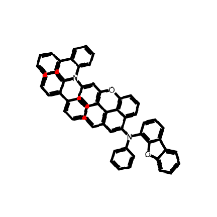 c1ccc(-c2ccccc2N(c2cc3c4c(ccc5cc(N(c6ccccc6)c6cccc7c6oc6ccccc67)c6cccc(c6c54)O3)c2)c2ccccc2-c2ccccc2)cc1